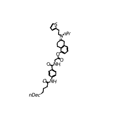 CCCCCCCCCCCCCC(=O)Nc1ccc(C(=O)NCC(=O)Oc2cccc3c2CC[C@H](N(CCC)CCc2cccs2)C3)cc1